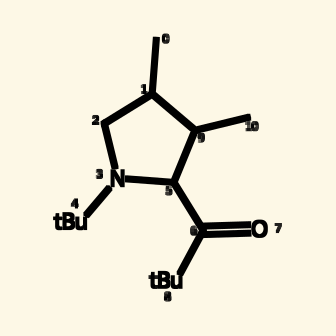 CC1CN(C(C)(C)C)C(C(=O)C(C)(C)C)C1C